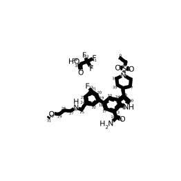 CCS(=O)(=O)N1CCC(c2c[nH]c3c(C(N)=O)cc(-c4cc(F)cc(CNCCCOC)c4)cc23)CC1.O=C(O)C(F)(F)F